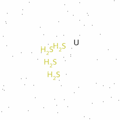 S.S.S.S.[U]